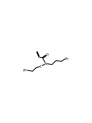 C=CC(=O)N(CCCC(C)C)CCCC(C)C